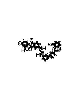 O=C1CCC(N2C(=O)c3ccc(NCCNc4cccc(-n5cc(-c6cnc7cccc(Br)c7n6)cn5)c4)cc3C2=O)C(=O)N1